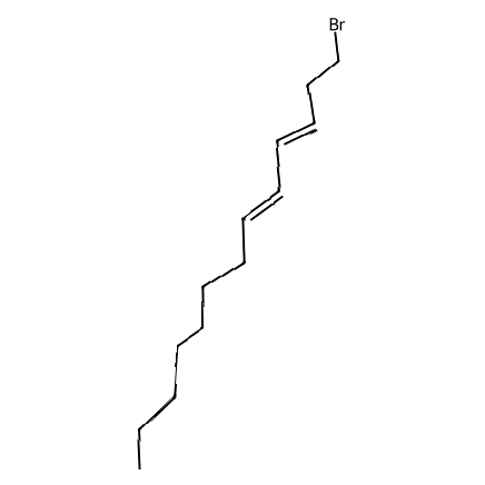 CCCCCCCC=CC=CCCBr